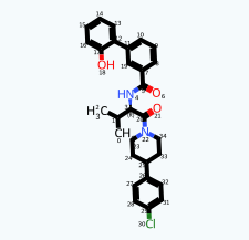 CC(C)[C@@H](NC(=O)c1cccc(-c2ccccc2O)c1)C(=O)N1CCC(c2ccc(Cl)cc2)CC1